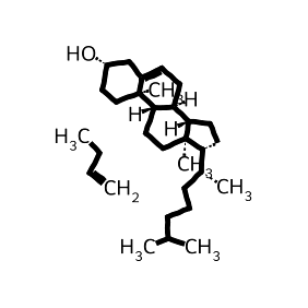 C=CCC.CC(C)CCC[C@@H](C)[C@H]1CC[C@H]2[C@@H]3CC=C4C[C@@H](O)CC[C@]4(C)[C@H]3CC[C@]12C